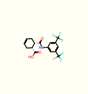 O=C(Nc1cc(C(F)(F)F)cc(C(F)(F)F)c1)[C@H]1CC=CC[C@H]1C(=O)O